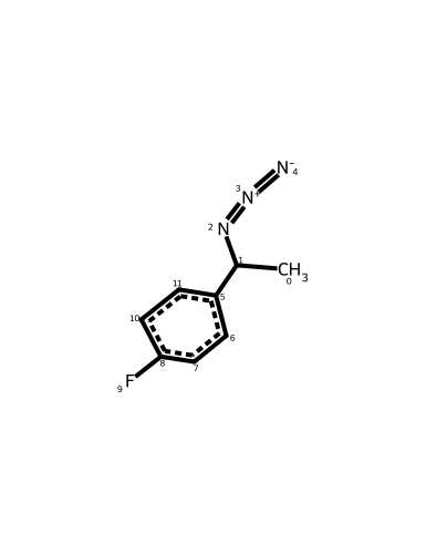 CC(N=[N+]=[N-])c1ccc(F)cc1